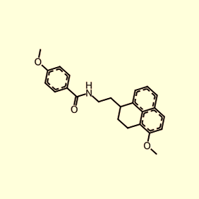 COc1ccc(C(=O)NCCC2CCc3c(OC)ccc4cccc2c34)cc1